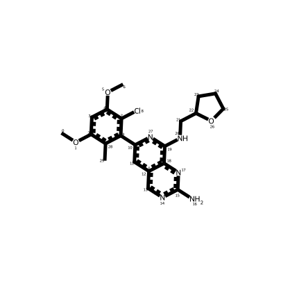 COc1cc(OC)c(Cl)c(-c2cc3cnc(N)nc3c(NCC3CCCO3)n2)c1C